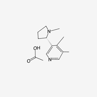 CC(=O)O.Cc1cncc([C@@H]2CCCN2C)c1C